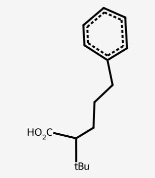 CC(C)(C)C(CCCc1ccccc1)C(=O)O